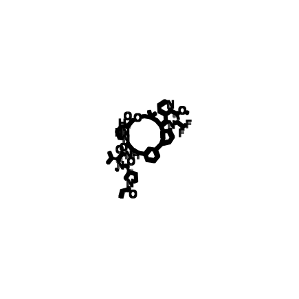 C=CC(=O)N1CC[C@H](C(=O)N(C)[C@H](C(=O)N[C@H]2Cc3cccc(c3)-c3ccc4c(c3)c(c(-c3cccnc3[C@H](C)OC)n4CC(F)F)CC(C)(C)COC(=O)[C@@H]3CCCN(N3)C2=O)C(C)C)C1